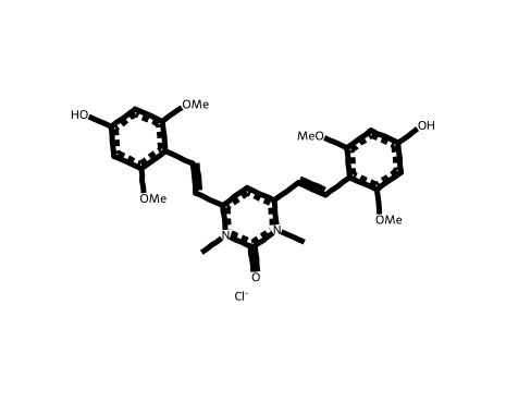 COc1cc(O)cc(OC)c1C=Cc1cc(C=Cc2c(OC)cc(O)cc2OC)[n+](C)c(=O)n1C.[Cl-]